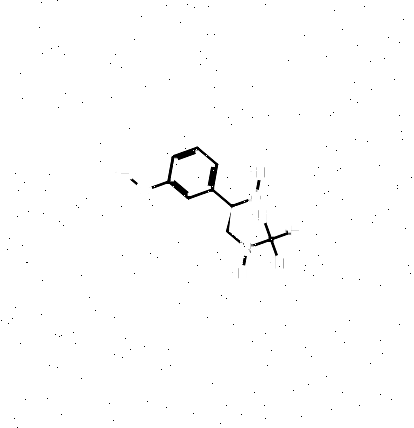 [2H]Oc1cccc([C@H](CN([2H])C([2H])([2H])[2H])O[2H])c1